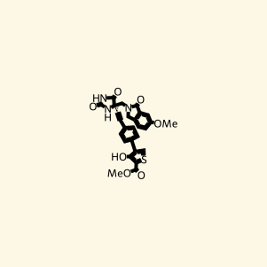 COC(=O)c1scc(-c2ccc(C#C[C@]3(CN4Cc5ccc(OC)cc5C4=O)NC(=O)NC3=O)cc2)c1O